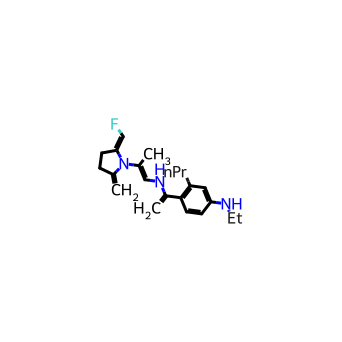 C=C(N/C=C(\C)N1C(=C)CC/C1=C\F)c1ccc(NCC)cc1CCC